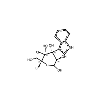 OC[C@@]1(Br)OC(O)[C@H](O)[C@](O)(c2c[nH]c3ccccc23)[C@]1(O)Cl